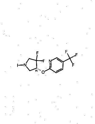 FC(F)(F)c1ccc(O[C@@H]2CN(I)CC2(F)F)nc1